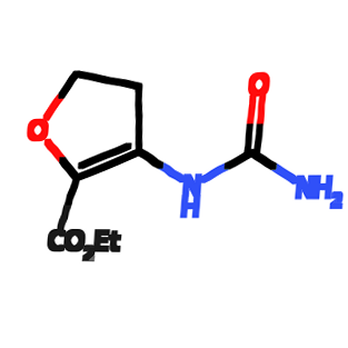 CCOC(=O)C1=C(NC(N)=O)CCO1